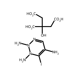 NC1=C(I)N(N)N(N)N=C1.O=C(O)CC(O)(CC(=O)O)C(=O)O